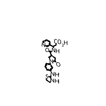 O=C(O)CC(NC(=O)C1CC(=O)N(c2cccc(NC3NCCS3)c2)C1)c1cccnc1